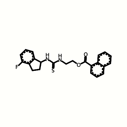 O=C(OCCNC(=S)NC1CCc2c(F)cccc21)c1cccc2ccccc12